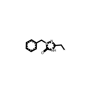 [CH2]Cc1nn(Cc2ccccc2)c(=O)[nH]1